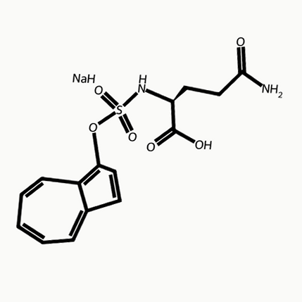 NC(=O)CC[C@H](NS(=O)(=O)Oc1ccc2cccccc1-2)C(=O)O.[NaH]